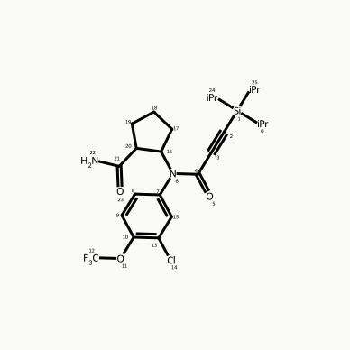 CC(C)[Si](C#CC(=O)N(c1ccc(OC(F)(F)F)c(Cl)c1)C1CCCC1C(N)=O)(C(C)C)C(C)C